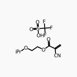 C=C(C#N)C(=O)OCCOC(C)C.O=S(=O)(O)C(F)(F)F